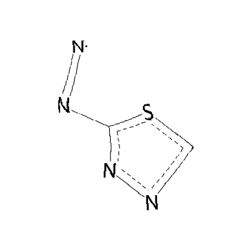 [N]=Nc1nncs1